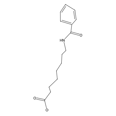 [O]C(=O)CCCCCCCNC(=O)c1ccccc1